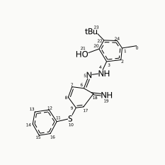 Cc1cc(N/N=C2/C=CC(Sc3ccccc3)=CC2=N)c(O)c(C(C)(C)C)c1